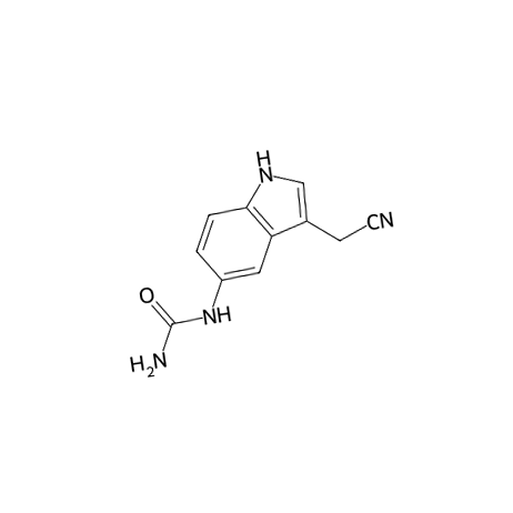 N#CCc1c[nH]c2ccc(NC(N)=O)cc12